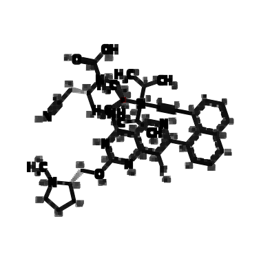 CC(C)[Si](C#Cc1cccc2cccc(-c3ncc4c(N5CCN(C(=O)O)[C@@H](CC#N)C5)nc(OC[C@@H]5CCCN5C)nc4c3F)c12)(C(C)C)C(C)C